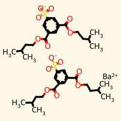 CC(C)CCOC(=O)c1cc(C(=O)OCCC(C)C)cc(S(=O)(=O)[O-])c1.CC(C)CCOC(=O)c1cc(C(=O)OCCC(C)C)cc(S(=O)(=O)[O-])c1.[Ba+2]